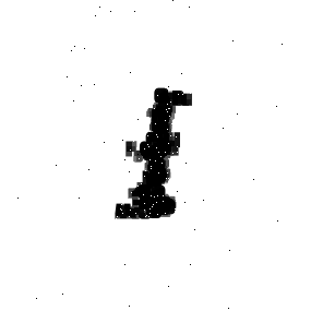 COC(=O)N[C@H](C(=O)N1C[C@@H](C)C[C@H]1c1nc2c(ccc3cc(-c4cc(Cl)c(NC(=O)c5ccc(N6CCN(C(=O)C(C)(C)C)CC6C)nc5)cc4OC(F)(F)F)ccc32)[nH]1)C1CCOCC1